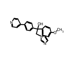 COc1ccc(C(O)(Cn2ccnc2)c2ccc(-c3ccncc3)cc2)cc1